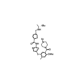 COc1cc(C)c(Sc2cnc(NC(=O)c3ccc(CN[C@H](C)C(C)(C)C)cc3)s2)cc1C(=O)N1CCN(C(C)=O)CC1